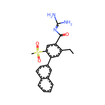 CCc1cc(-c2ccc3ccccc3c2)c(S(C)(=O)=O)cc1C(=O)N=C(N)N